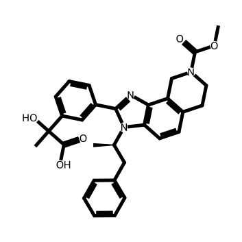 COC(=O)N1CCc2ccc3c(nc(-c4cccc(C(C)(O)C(=O)O)c4)n3[C@H](C)Cc3ccccc3)c2C1